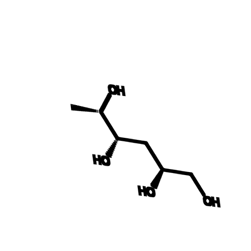 C[C@H](O)[C@@H](O)C[C@H](O)CO